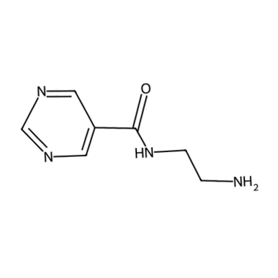 NCCNC(=O)c1cncnc1